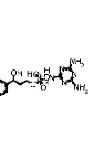 Nc1nc(N)nc(N)n1.O=P(O)(O)OCCC(O)c1ccccc1